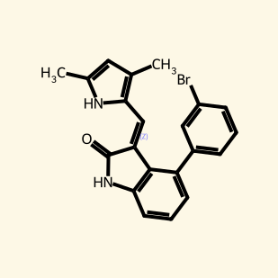 Cc1cc(C)c(/C=C2\C(=O)Nc3cccc(-c4cccc(Br)c4)c32)[nH]1